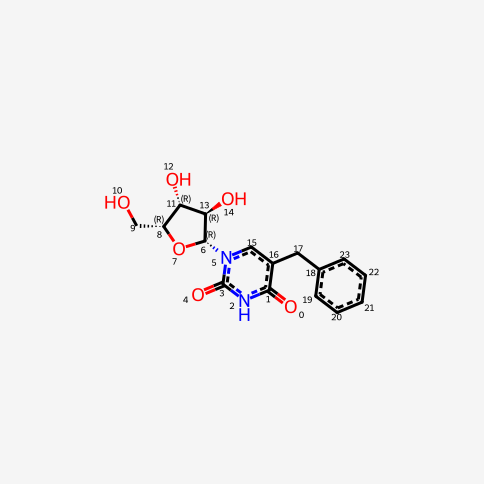 O=c1[nH]c(=O)n([C@@H]2O[C@H](CO)[C@H](O)[C@H]2O)cc1Cc1ccccc1